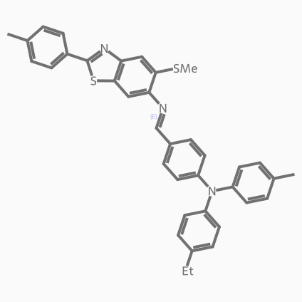 CCc1ccc(N(c2ccc(C)cc2)c2ccc(/C=N/c3cc4sc(-c5ccc(C)cc5)nc4cc3SC)cc2)cc1